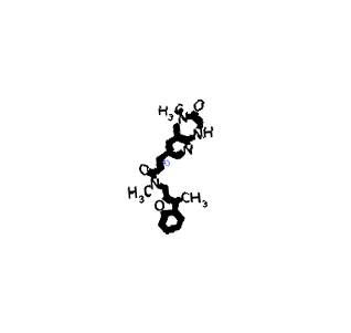 Cc1c(CN(C)C(=O)/C=C/c2cnc3c(c2)CN(C)C(=O)CN3)oc2ccccc12